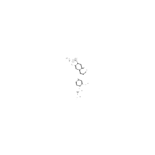 CCNC(=O)Nc1ccc(Oc2ccnc3cc(O)c(C(=O)NOC)cc23)cc1CI